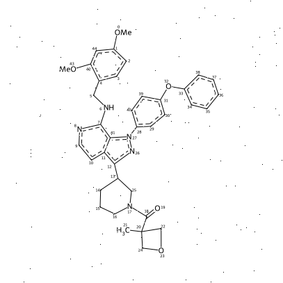 COc1ccc(CNc2nccc3c(C4CCCN(C(=O)C5(C)COC5)C4)nn(-c4ccc(Oc5ccccc5)cc4)c23)c(OC)c1